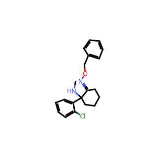 CNC1(c2ccccc2Cl)CCCC/C1=N\OCc1ccccc1